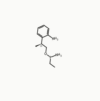 CCP(N)OC[C@@H](C)c1ccccc1N